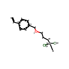 C=Cc1ccc(COCCC[Si](C)(Cl)Cl)cc1